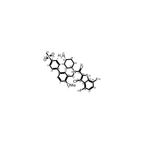 COc1ccc(-c2ccc(S(C)(=O)=O)cc2)cc1CN(C(=O)c1sc2c(F)ccc(F)c2c1Cl)[C@H]1CC[C@H](N)CC1